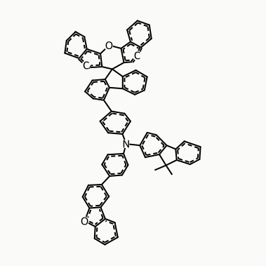 CC1(C)c2ccccc2-c2ccc(N(c3ccc(-c4ccc5oc6ccccc6c5c4)cc3)c3ccc(-c4cccc5c4-c4ccccc4C54c5ccc6ccccc6c5Oc5c4ccc4ccccc54)cc3)cc21